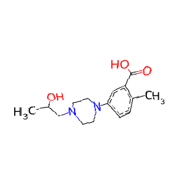 Cc1ccc(N2CCN(CC(C)O)CC2)cc1C(=O)O